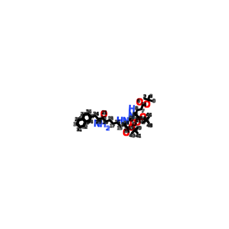 CC(C)(C)OC(=O)CC[C@H](NC(=O)N[C@@H](CCCCCC(=O)C(N)Cc1ccc2ccccc2c1)C(=O)OC(C)(C)C)C(=O)OC(C)(C)C